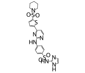 O=S(=O)(Nc1ncc[nH]1)c1ccc(Nc2nccc(-c3ccc(S(=O)(=O)N4CCCCC4)s3)n2)cc1